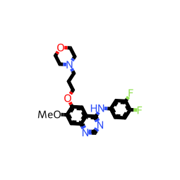 COc1cc2ncnc(Nc3ccc(F)c(F)c3)c2cc1OCCCN1CCOCC1